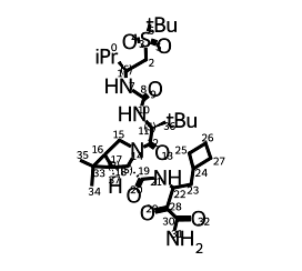 CC(C)[C@@H](CS(=O)(=O)C(C)(C)C)NC(=O)N[C@H](C(=O)N1CC2[C@@H]([C@H]1C(=O)NC(CC1CCC1)C(=O)C(N)=O)C2(C)C)C(C)(C)C